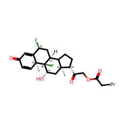 CC(C)CC(=O)OCC(=O)[C@H]1CCC2[C@@H]3C[C@H](F)C4=CC(=O)C=C[C@]4(C)[C@@]3(F)[C@@H](O)C[C@@]21C